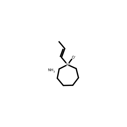 CC=C[N+]1([O-])CCCCCC1.N